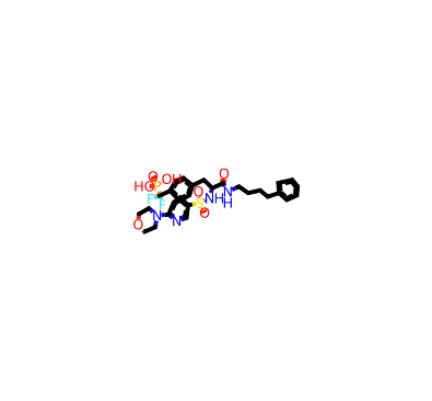 O=C(NCCCCc1ccccc1)C(Cc1ccc(C(F)(F)P(=O)(O)O)cc1)NS(=O)(=O)c1ccc(N2CCOCC2)nc1